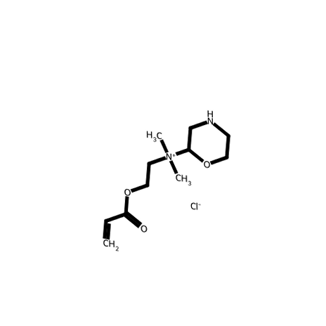 C=CC(=O)OCC[N+](C)(C)C1CNCCO1.[Cl-]